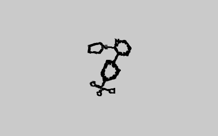 O=S(=O)(Cl)c1ccc(-c2cccnc2N2CCCC2)cc1